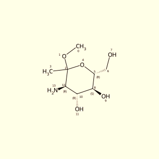 COC1(C)O[C@H](CO)[C@@H](O)[C@H](O)[C@H]1N